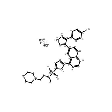 CN(CCN1CCOCC1)S(=O)(=O)c1ccc(-c2ncnc3ccc(-c4c[nH]nc4-c4ccc(F)cc4)cc23)s1.Cl.Cl.Cl